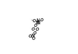 Cc1ccc(-c2nc(-c3ccccc3)nn2-c2ccc(-c3ccccc3-c3ccccc3-c3ccc(-n4c5ccccc5c5ccccc54)cc3)cc2)cc1